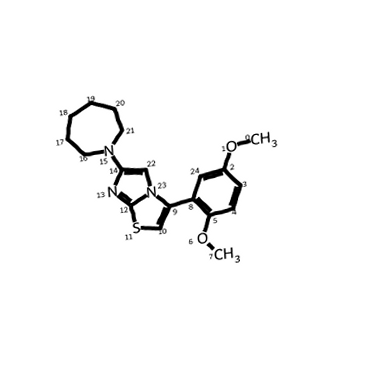 COc1ccc(OC)c(-c2csc3nc(N4CCCCCC4)cn23)c1